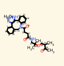 CN/C1=C(\N=N)c2ccccc2CN(C(=O)CCC(=O)NCC(C)(C)OCC(C)C(C)=O)c2ccccc21